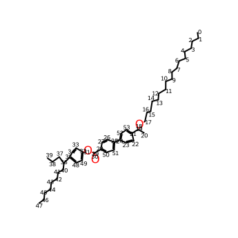 CCCCCCCCCCCCCCCCCCOC(C)c1ccc(-c2ccc(C(=O)Oc3ccc(C(CCC)CCCCCCCC)cc3)cc2)cc1